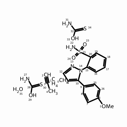 C.C.C#CC.COc1ccc(-c2ccnn2-c2ccccc2S(N)(=O)=O)cc1.NC(O)=S.NC(O)=S.O